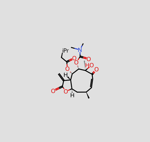 C=C1C(=O)O[C@@H]2C[C@H](C)/C=C\C(=O)[C@](C)(O)[C@@H](OC(=O)N(C)C)[C@@H](OC(=O)CC(C)C)[C@@H]12